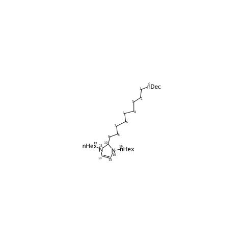 CCCCCCCCCCCCCCCCCCCC1N(CCCCCC)C=CN1CCCCCC